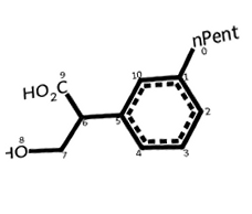 CCCCCc1cccc(C(CO)C(=O)O)c1